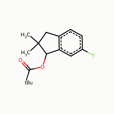 CC(C)(C)C(=O)OC1c2cc(F)ccc2CC1(C)C